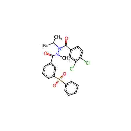 CC(N(C(=O)c1ccc(Cl)c(Cl)c1)N(C)C(=O)c1cccc(S(=O)(=O)c2ccccc2)c1)C(C)(C)C